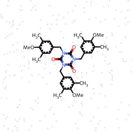 COc1c(C)cc(Cn2c(=O)n(Cc3cc(C)c(OC)c(C)c3)c(=O)n(Cc3cc(C)c(OC)c(C)c3)c2=O)cc1C